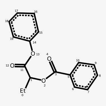 CCC(OC(=O)c1ccccc1)C(=O)Oc1ccccc1